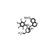 C=CC1C[N+]2(Cc3c(F)c(F)c(F)c(F)c3F)CCC1C[C@H]2[C@H](O)c1ccnc2ccc(OC)cc12